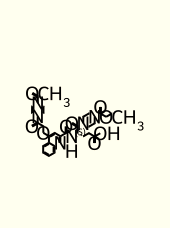 CCOC(=O)N1CCN(C(=O)[C@H](CCC(=O)O)NC(=O)c2cc(OCC(=O)N3CCN(C(C)=O)CC3)c3ccccc3n2)CC1